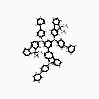 CC1(C)c2ccccc2-c2ccc(N(c3ccc(-c4ccccc4)cc3)c3cc(-c4ccc5c(c4)c4ccccc4n5-c4ccc(-c5ccccc5)cc4)cc(N(c4ccc(-c5ccccc5)cc4)c4ccc5c(c4)C(C)(C)c4ccccc4-5)c3)cc21